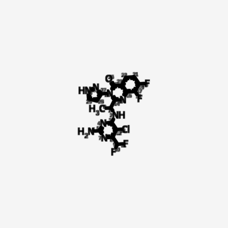 CC(Nc1nc(N)nc(C(F)F)c1Cl)c1nc2c(F)c(F)ccc2c(=O)n1-c1cc[nH]n1